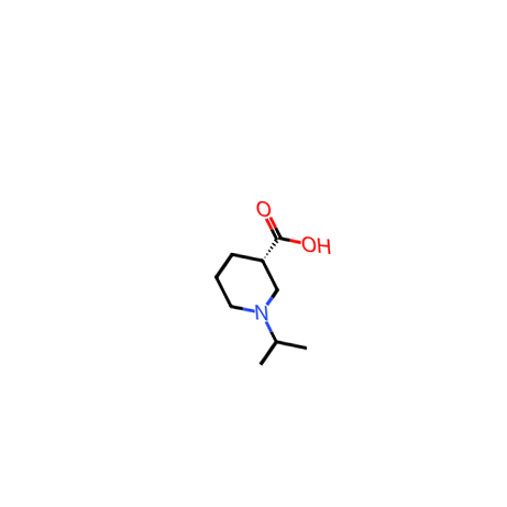 CC(C)N1CCC[C@H](C(=O)O)C1